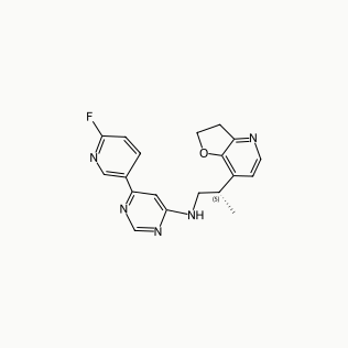 C[C@H](CNc1cc(-c2ccc(F)nc2)ncn1)c1ccnc2c1OCC2